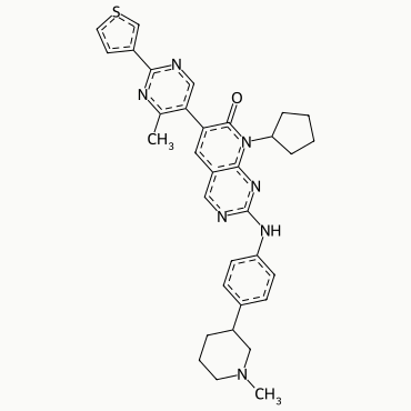 Cc1nc(-c2ccsc2)ncc1-c1cc2cnc(Nc3ccc(C4CCCN(C)C4)cc3)nc2n(C2CCCC2)c1=O